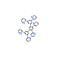 c1ccc(-c2cc(-c3ccccn3)cc(-c3cc(-c4cc(-c5ccccn5)cc(-c5ccccn5)c4)c(-c4ccccn4)cc3-c3ccccn3)c2)nc1